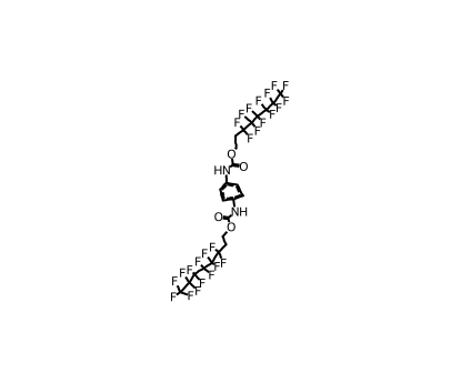 O=C(Nc1ccc(NC(=O)OCCC(F)(F)C(F)(F)C(F)(F)C(F)(F)C(F)(F)C(F)(F)F)cc1)OCCC(F)(F)C(F)(F)C(F)(F)C(F)(F)C(F)(F)C(F)(F)F